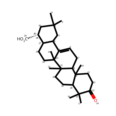 CC1(C)CC2C3=CCC4C5(C)CCC(=O)C(C)(C)C5CCC4(C)C3(C)CCC2[C@H](C(=O)O)C1